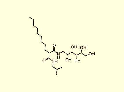 CCCCCCCCCC(C(=O)NCC(C)C)C(=O)NC[C@@H](O)[C@H](O)[C@@H](O)[C@@H](O)CO